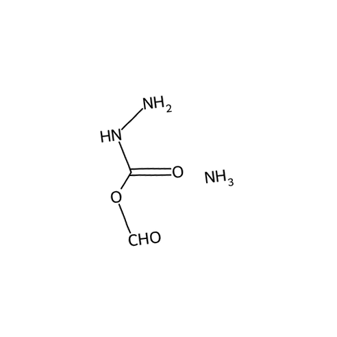 N.NNC(=O)OC=O